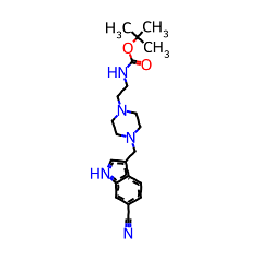 CC(C)(C)OC(=O)NCCN1CCN(Cc2c[nH]c3cc(C#N)ccc23)CC1